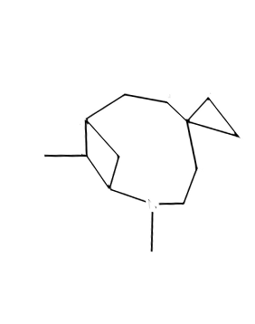 CC1C2CCC3(CCN(C)C1C2)CC3